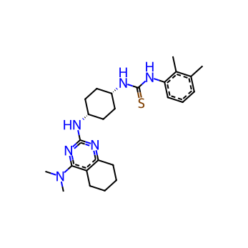 Cc1cccc(NC(=S)N[C@H]2CC[C@@H](Nc3nc4c(c(N(C)C)n3)CCCC4)CC2)c1C